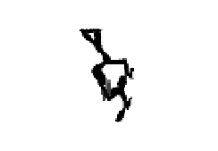 C=Nc1ncc(C2CC2)cn1